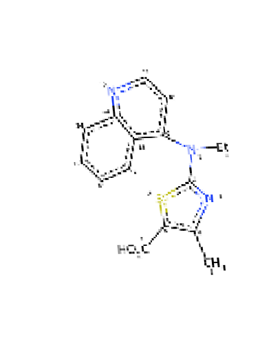 CCN(c1nc(C)c(C(=O)O)s1)c1ccnc2ccccc12